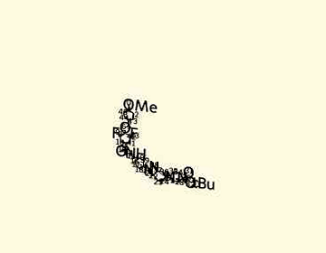 COc1ccc(COc2c(F)cc(C(=O)NC[C@H]3CC[C@H](n4cc5ccc(N6CCN(C(=O)OC(C)(C)C)CC6)cc5n4)CC3)cc2F)cc1